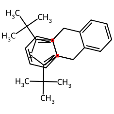 CC(C)(C)c1sc(C(C)(C)C)c2c1C1c3ccccc3C2c2ccccc21